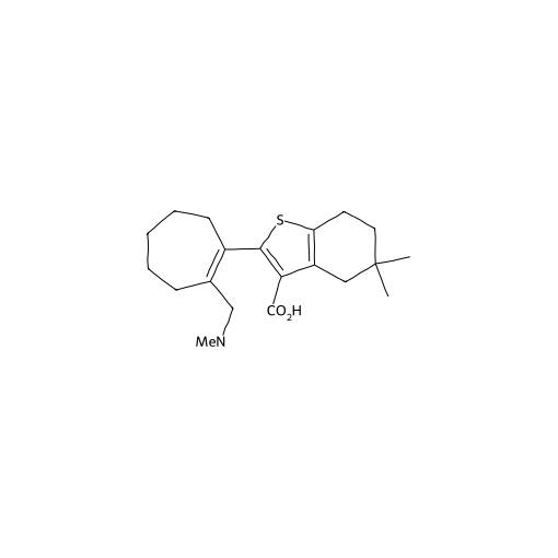 CNCC1=C(c2sc3c(c2C(=O)O)CC(C)(C)CC3)CCCCC1